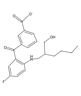 CCCCC(CO)CNc1ccc(F)cc1C(=O)c1cccc([N+](=O)[O-])c1